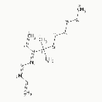 C=C/N=C\N=C(/C=C)C(C)(C)CCCCCC